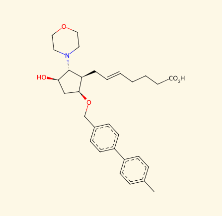 Cc1ccc(-c2ccc(CO[C@H]3C[C@@H](O)[C@H](N4CCOCC4)[C@H]3CC=CCCCC(=O)O)cc2)cc1